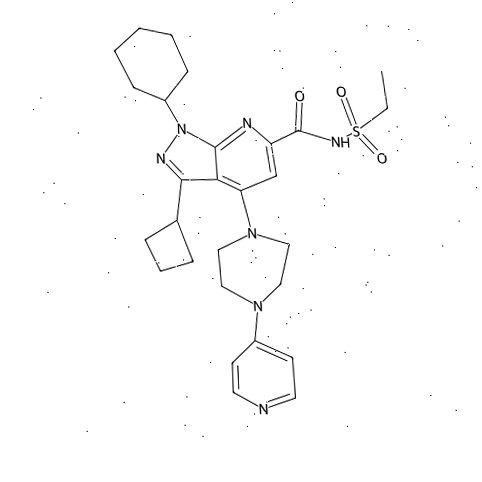 CCS(=O)(=O)NC(=O)c1cc(N2CCN(c3ccncc3)CC2)c2c(C3CCC3)nn(C3CCCCC3)c2n1